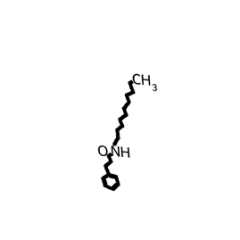 CCCCCCCCCCCCNC(=O)CCc1ccccc1